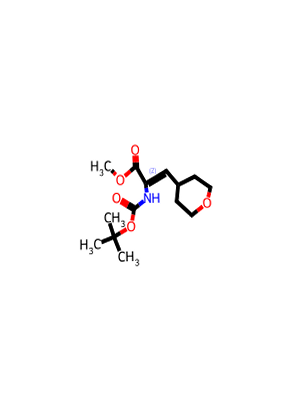 COC(=O)/C(=C/C1CCOCC1)NC(=O)OC(C)(C)C